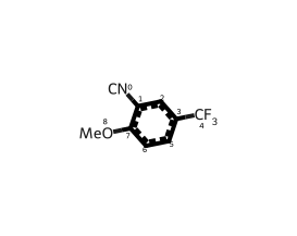 [C-]#[N+]c1cc(C(F)(F)F)ccc1OC